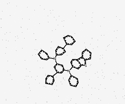 c1ccc(-c2ccc(N(c3ccccc3)c3cc(-c4ccccc4)cc(N(c4ccccc4)c4ccc5c(c4)sc4ccccc45)c3)cc2)cc1